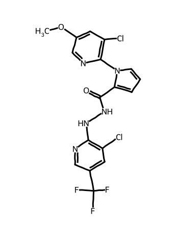 COc1cnc(-n2cccc2C(=O)NNc2ncc(C(F)(F)F)cc2Cl)c(Cl)c1